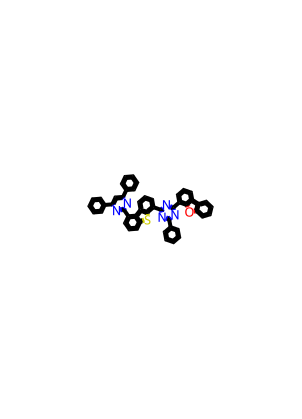 c1ccc(-c2cc(-c3ccccc3)nc(-c3cccc4sc5c(-c6nc(-c7ccccc7)nc(-c7cccc8c7oc7ccccc78)n6)cccc5c34)n2)cc1